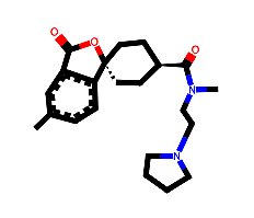 Cc1ccc2c(c1)C(=O)O[C@]21CC[C@H](C(=O)N(C)CCN2CCCC2)CC1